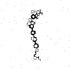 CCCCOC1CCC(C2CCC(c3ccc(-c4cc(F)c(C(F)(F)Oc5cc(F)c(C(F)(F)OC(F)(F)F)c(F)c5)c(F)c4)cc3)OC2)CC1